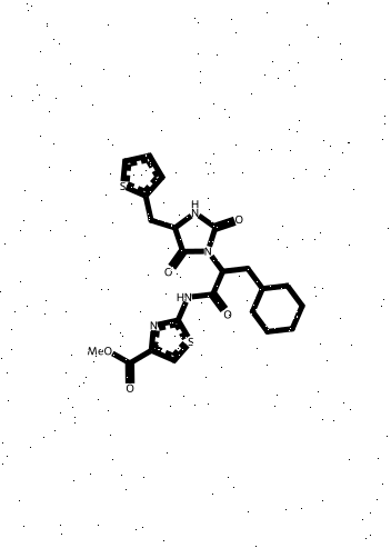 COC(=O)c1csc(NC(=O)C(CC2CCCCC2)N2C(=O)NC(Cc3cccs3)C2=O)n1